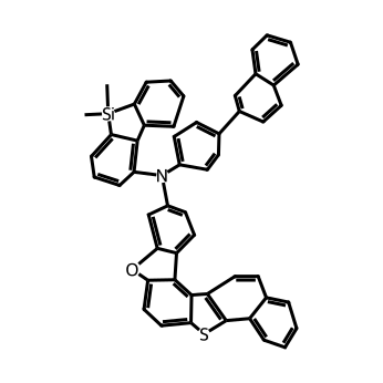 C[Si]1(C)c2ccccc2-c2c(N(c3ccc(-c4ccc5ccccc5c4)cc3)c3ccc4c(c3)oc3ccc5sc6c7ccccc7ccc6c5c34)cccc21